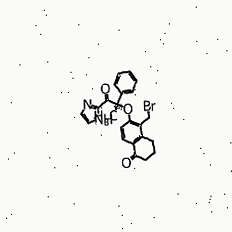 C[C@@](Oc1ccc2c(c1CBr)CCCC2=O)(C(=O)c1ncc[nH]1)c1ccccc1